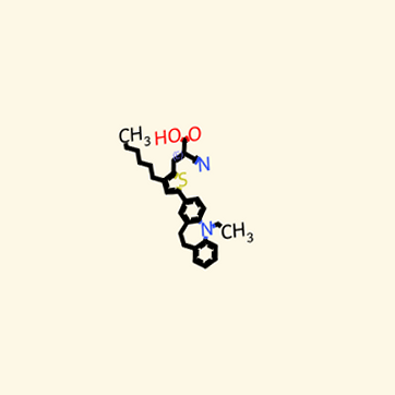 CCCCCCc1cc(-c2ccc3c(c2)CCc2ccccc2N3CC)sc1/C=C(\C#N)C(=O)O